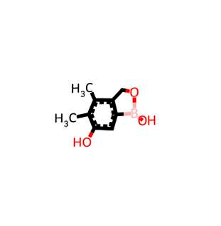 Cc1c(O)cc2c(c1C)COB2O